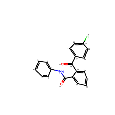 O=C(Nc1ccccc1)c1ccccc1C(=O)c1ccc(Cl)cc1